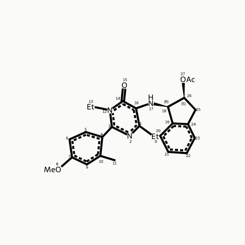 CCc1nc(-c2ccc(OC)cc2C)n(CC)c(=O)c1N[C@@H]1c2ccccc2C[C@@H]1OC(C)=O